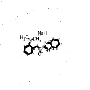 CN(C)c1ccccc1C[S+]([O-])C1=NC2C=CC=CC2=N1.[NaH]